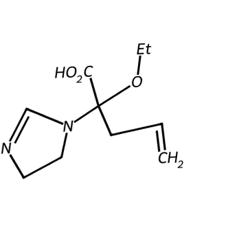 C=CCC(OCC)(C(=O)O)N1C=NCC1